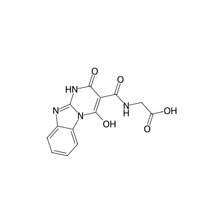 O=C(O)CNC(=O)c1c(O)n2c(nc3ccccc32)[nH]c1=O